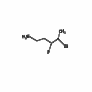 CCC(C)C(F)CC[SiH3]